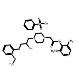 COc1ccccc1OCC(O)CN1CCN(CC(=O)Nc2c(C)cccc2C)CC1.O=S(=O)(O)c1ccccc1